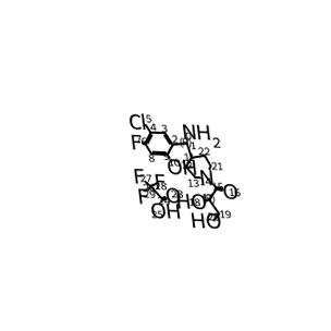 N[C@@H](c1cc(Cl)c(F)cc1O)C1CCN(C(=O)[C@H](O)CO)CC1.O=C(O)C(F)(F)F